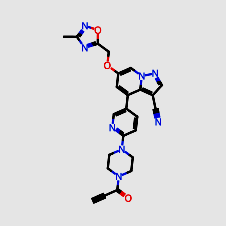 C#CC(=O)N1CCN(c2ccc(-c3cc(OCc4nc(C)no4)cn4ncc(C#N)c34)cn2)CC1